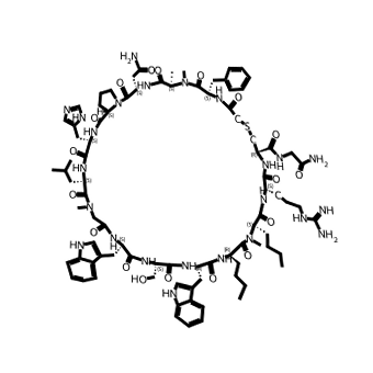 CCCC[C@H]1NC(=O)[C@H](Cc2c[nH]c3ccccc23)NC(=O)[C@H](CO)NC(=O)[C@H](Cc2c[nH]c3ccccc23)NC(=O)CN(C)C(=O)[C@H](CC(C)C)NC(=O)[C@H](Cc2cnc[nH]2)NC(=O)[C@@H]2CCCN2C(=O)[C@H](CC(N)=O)NC(=O)[C@H](C)N(C)C(=O)[C@H](Cc2ccccc2)NC(=O)CSC[C@@H](C(=O)NCC(N)=O)NC(=O)[C@H](CCCNC(=N)N)NC(=O)[C@H](CCCC)N(C)C1=O